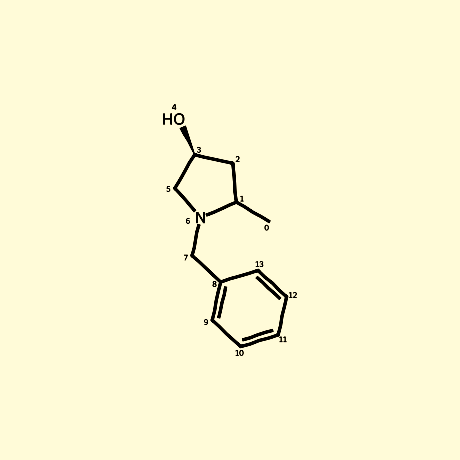 CC1C[C@H](O)CN1Cc1ccccc1